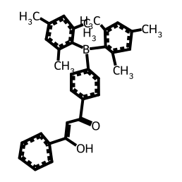 Cc1cc(C)c(B(c2ccc(C(=O)/C=C(\O)c3ccccc3)cc2)c2c(C)cc(C)cc2C)c(C)c1